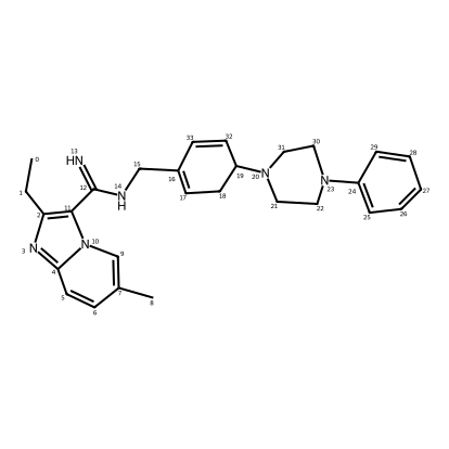 CCc1nc2ccc(C)cn2c1C(=N)NCC1=CCC(N2CCN(c3ccccc3)CC2)C=C1